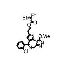 CCN(CC)C(=O)OCCc1cc2c(s1)-n1c(nnc1OC)CN=C2c1ccccc1Cl